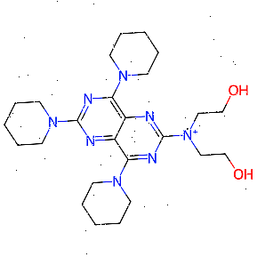 OCC[N+](CCO)c1nc(N2CCCCC2)c2nc(N3CCCCC3)nc(N3CCCCC3)c2n1